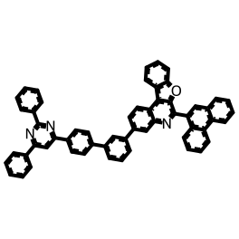 c1ccc(-c2cc(-c3ccc(-c4cccc(-c5ccc6c(c5)nc(-c5cc7ccccc7c7ccccc57)c5oc7ccccc7c56)c4)cc3)nc(-c3ccccc3)n2)cc1